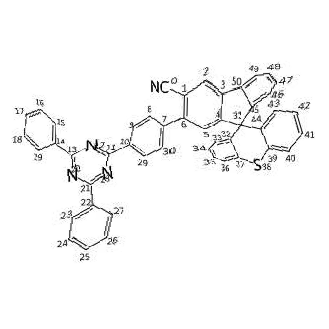 N#Cc1cc2c(cc1-c1ccc(-c3nc(-c4ccccc4)nc(-c4ccccc4)n3)cc1)C1(c3ccccc3Sc3ccccc31)c1ccccc1-2